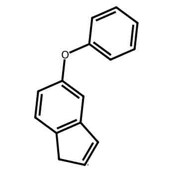 [C]1=Cc2cc(Oc3ccccc3)ccc2C1